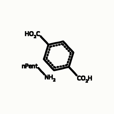 CCCCCN.O=C(O)c1ccc(C(=O)O)cc1